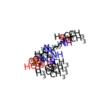 CN(O[Si](C)(C)C(C)(C)C)C(=N)[C@@H]1c2c(cnn2CCCCNC(=O)OC(C)(C)C)[C@@H]2CN1C(=O)N2OS(=O)(=O)O